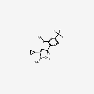 CSc1cc(C(F)(F)F)ccc1C(=O)C=C(C1CC1)N(C)C